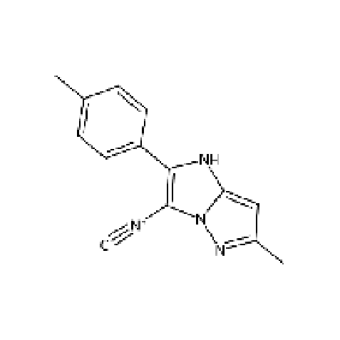 [C-]#[N+]c1c(-c2ccc(C)cc2)[nH]c2cc(C)nn12